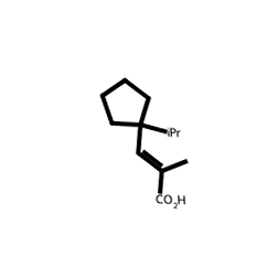 C/C(=C\C1(C(C)C)CCCC1)C(=O)O